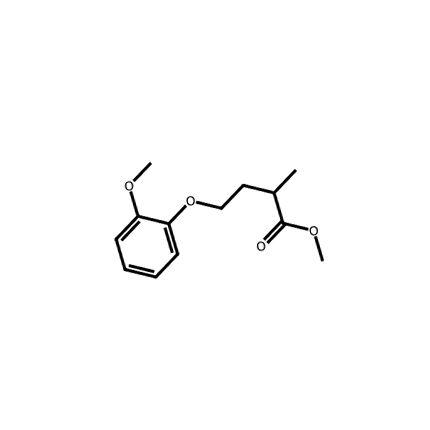 COC(=O)C(C)CCOc1ccccc1OC